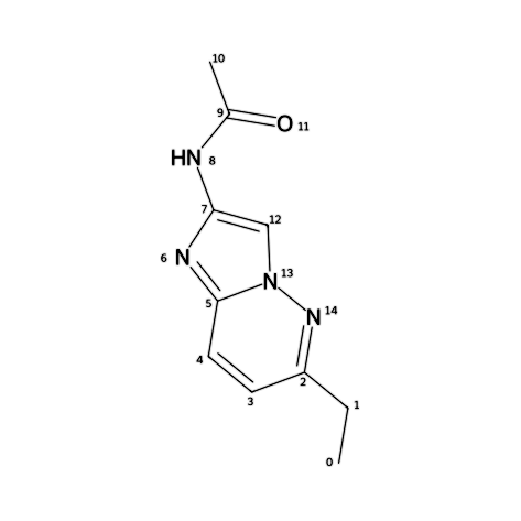 CCc1ccc2nc(NC(C)=O)cn2n1